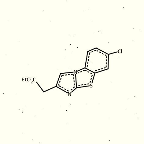 CCOC(=O)Cc1cn2c(n1)sc1cc(Cl)ccc12